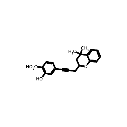 CC1(C)CC(CC#Cc2ccc(C(=O)O)c(O)c2)Oc2ccccc21